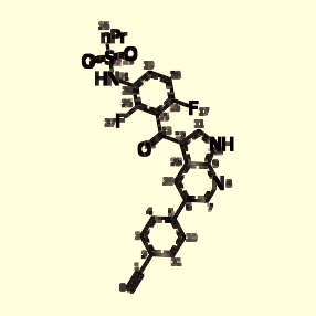 C#Cc1ccc(-c2cnc3[nH]cc(C(=O)c4c(F)ccc(NS(=O)(=O)CCC)c4F)c3c2)cc1